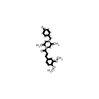 COc1ccc(/C=C/C(=O)N2CC(C)N(Cc3ccc(F)cc3)CC2C)cc1OC